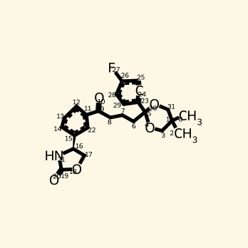 CC1(C)COC(CCCC(=O)c2cccc([C@H]3COC(=O)N3)c2)(c2ccc(F)cc2)OC1